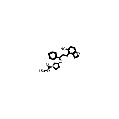 CC(C)(C)OC(=O)N1CC[C@H](OC(CCc2c(C#N)ccc3occc23)c2ccccc2)C1